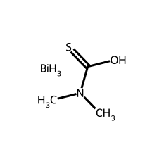 CN(C)C(O)=S.[BiH3]